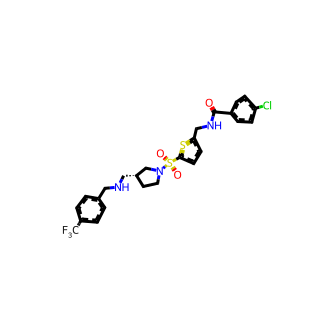 O=C(NCc1ccc(S(=O)(=O)N2CC[C@H](CNCc3ccc(C(F)(F)F)cc3)C2)s1)c1ccc(Cl)cc1